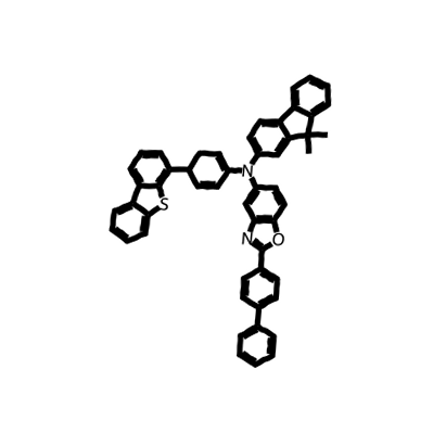 CC1(C)c2ccccc2-c2ccc(N(C3=CCC(c4cccc5c4sc4ccccc45)C=C3)c3ccc4oc(-c5ccc(-c6ccccc6)cc5)nc4c3)cc21